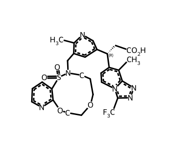 Cc1ncc([C@H](CC(=O)O)c2ccn3c(C(F)(F)F)nnc3c2C)cc1CN1CCCOCCOc2ncccc2S1(=O)=O